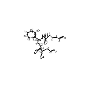 C=CCCCC(=O)N[C@@H](COC(=O)C(C)CC=C)c1ccccc1